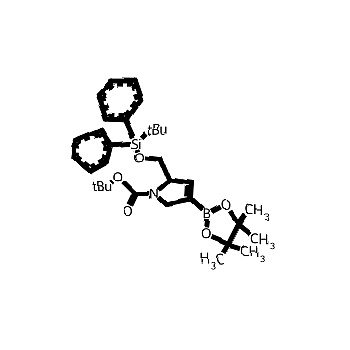 CC(C)(C)OC(=O)N1CC(B2OC(C)(C)C(C)(C)O2)=CC1CO[Si](c1ccccc1)(c1ccccc1)C(C)(C)C